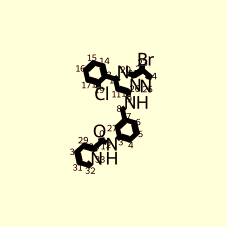 O=C(Nc1cccc(CNc2cc(-c3ccccc3Cl)nc3c(Br)cnn23)c1)c1ccccn1